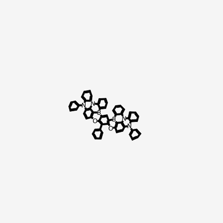 c1ccc(-c2c3c(cc4c2Oc2ccc5c6c2B4c2ccccc2N6c2ccccc2N5c2ccccc2)B2c4ccccc4N4c5ccccc5N(c5ccccc5)c5ccc(c2c54)O3)cc1